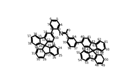 C/C(=N\c1ccccc1-c1ccc2c(c1)-c1ccccc1C21c2ccccc2C2C=CC=CC21)c1cccc(-c2ccc3c(c2)C2(C4=C(C=CCC4)c4ccccc42)c2ccccc2-3)c1